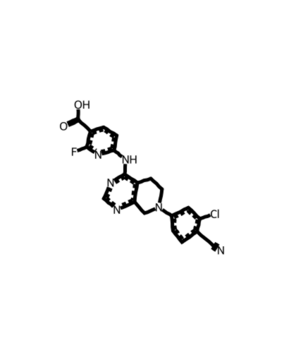 N#Cc1ccc(N2CCc3c(ncnc3Nc3ccc(C(=O)O)c(F)n3)C2)cc1Cl